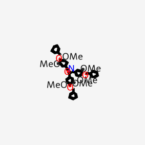 COc1cc(-c2nc(-c3cc(OC)c(OCc4ccccc4)c(OC)c3)c(-c3cc(OC)c(OCc4ccccc4)c(OC)c3)o2)cc(OC)c1OCc1ccccc1